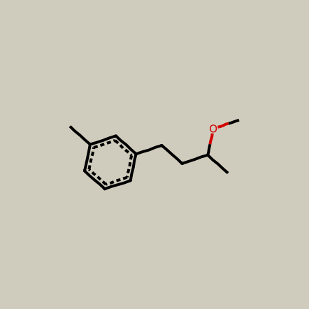 COC(C)CCc1cccc(C)c1